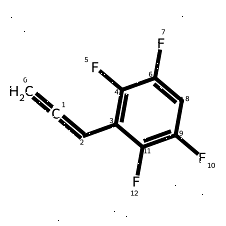 C=C=Cc1c(F)c(F)[c]c(F)c1F